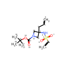 C=CCC1(NS(=O)(=O)C=C)CN(C(=O)OC(C)(C)C)C1